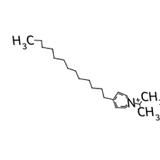 CCCCCCCCCCCCCc1cc[n+](C(C)C)cc1